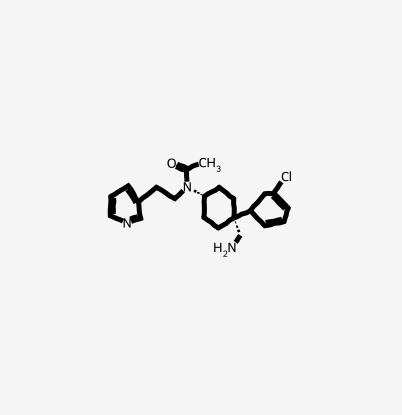 CC(=O)N(CCc1cccnc1)[C@H]1CC[C@](CN)(C2C=CC=C(Cl)C2)CC1